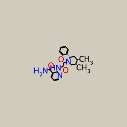 C[C@@H]1CN(C(=O)C(=O)Nc2ncccc2C(N)=O)[C@H](c2ccccc2)C[C@@H]1C